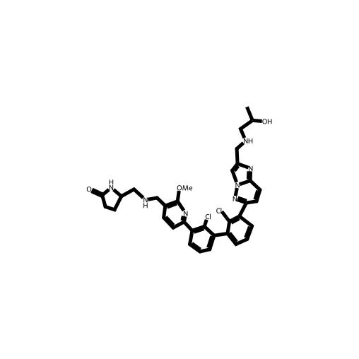 COc1nc(-c2cccc(-c3cccc(-c4ccc5nc(CNCC(C)O)cn5n4)c3Cl)c2Cl)ccc1CNCC1CCC(=O)N1